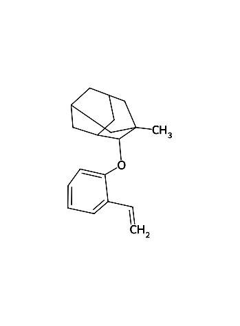 C=Cc1ccccc1OC1C2CC3CC(C2)CC1(C)C3